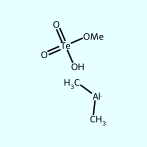 CO[Te](=O)(=O)O.[CH3][Al][CH3]